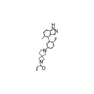 C=CC(=O)N1CC2(CCN(c3ccc(F)c(-c4c(C)ccc5[nH]ncc45)c3)C2)C1